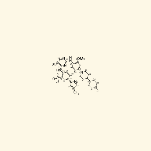 COc1cc(N2CCC(N3CCN(C)CC3)CC2)c(C)cc1Nc1ncc(Br)c(Nc2ccc(-n3cc(C(F)(F)F)cn3)cc2P(C)(C)=O)n1